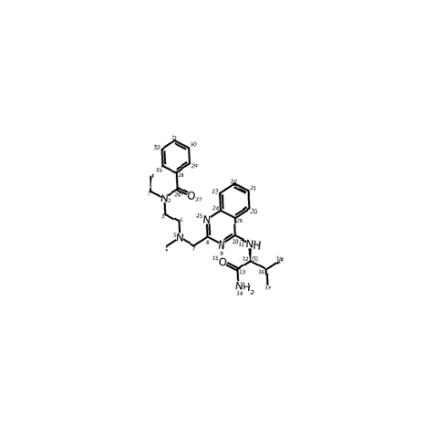 CCN(CCN(C)Cc1nc(N[C@H](C(N)=O)C(C)C)c2ccccc2n1)C(=O)c1ccccc1